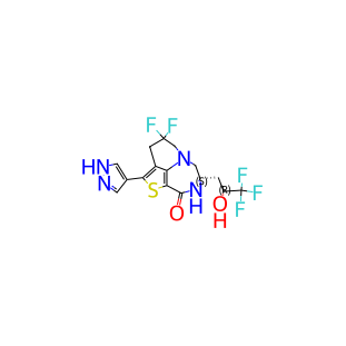 O=C1N[C@@H](C[C@@H](O)C(F)(F)F)CN2CC(F)(F)Cc3c(-c4cn[nH]c4)sc1c32